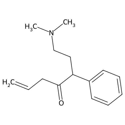 C=CCC(=O)C(CCN(C)C)c1ccccc1